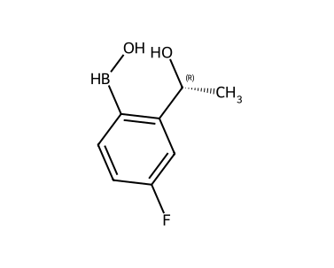 C[C@@H](O)c1cc(F)ccc1BO